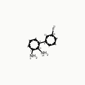 Nc1cccc(-c2cccc(F)c2)c1N